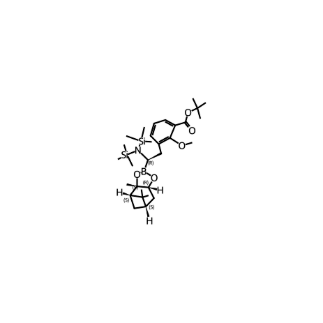 COc1c(C[C@@H](B2O[C@@H]3C[C@@H]4C[C@@H](C4(C)C)[C@]3(C)O2)N([Si](C)(C)C)[Si](C)(C)C)cccc1C(=O)OC(C)(C)C